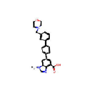 Cn1cnc2c(C(=O)O)cc(-c3ccc(-c4cccc(CN5CCOCC5)c4)cc3)cc21